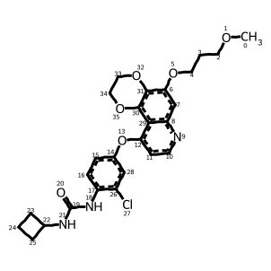 COCCCOc1cc2nccc(Oc3ccc(NC(=O)NC4CCC4)c(Cl)c3)c2c2c1OCCO2